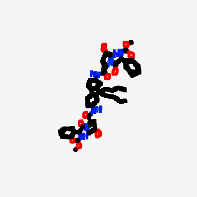 CCCCC1(CCCC)c2cc(NC(=O)[C@@H]3CC(=O)CN3C(=O)C(NC(=O)OC)c3ccccc3)ccc2-c2ccc(NC(=O)[C@@H]3CC(=O)CN3C(=O)C(NC(=O)OC)c3ccccc3)cc21